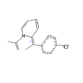 CC(=S)N1C=CC=C/C1=C(/C)c1ccc(Cl)cc1